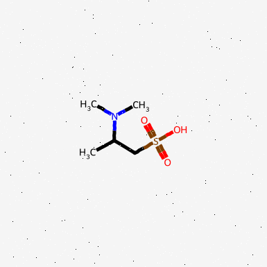 CC(CS(=O)(=O)O)N(C)C